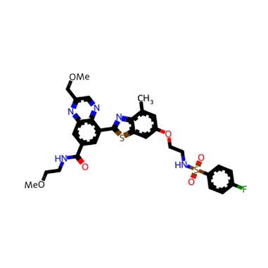 COCCNC(=O)c1cc(-c2nc3c(C)cc(OCCNS(=O)(=O)c4ccc(F)cc4)cc3s2)c2ncc(COC)nc2c1